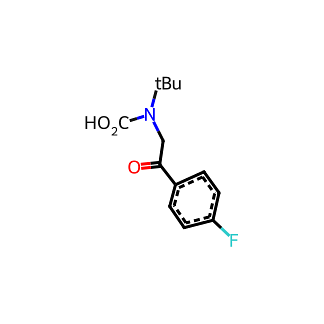 CC(C)(C)N(CC(=O)c1ccc(F)cc1)C(=O)O